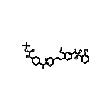 COc1cc(NS(=O)(=O)c2ccccc2Cl)ccc1/C=C/c1cnc(NC2CCC(NC(=O)OC(C)(C)C)CC2)nc1